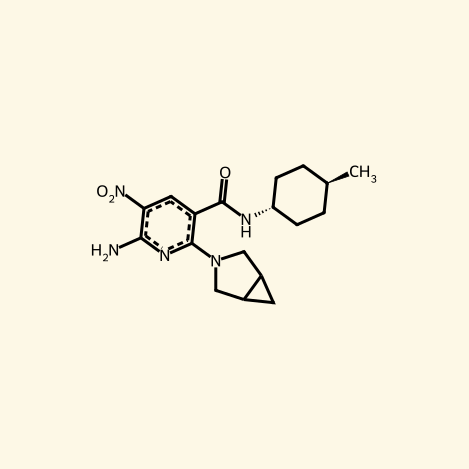 C[C@H]1CC[C@H](NC(=O)c2cc([N+](=O)[O-])c(N)nc2N2CC3CC3C2)CC1